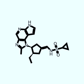 CC[C@@H]1C/C(=C\NS(=O)(=O)C2CC2)C[C@@H]1n1c(C)nc2cnc3[nH]ccc3c21